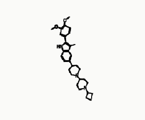 COc1ccc(-c2[nH]c3ccc(C4CCN(C5CCN(C6CCC6)CC5)CC4)cc3c2C)cc1OC